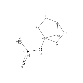 S=[PH](S)OC12CCC(CC1)C2